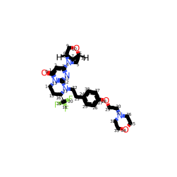 O=c1cc(N2C[C@@H]3C[C@H]2CO3)nc2n1CC[C@@H](C(F)(F)F)N2CCc1ccc(OCCN2CCOCC2)cc1